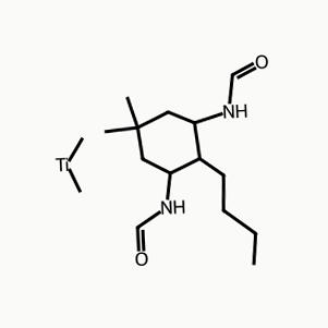 CCCCC1C(NC=O)CC(C)(C)CC1NC=O.[CH3][Ti][CH3]